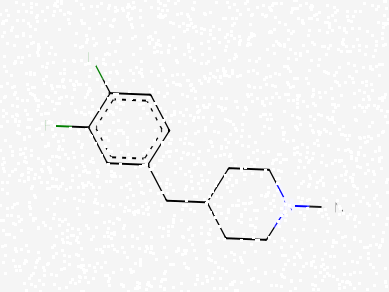 N#CN1CCC(Cc2ccc(F)c(F)c2)CC1